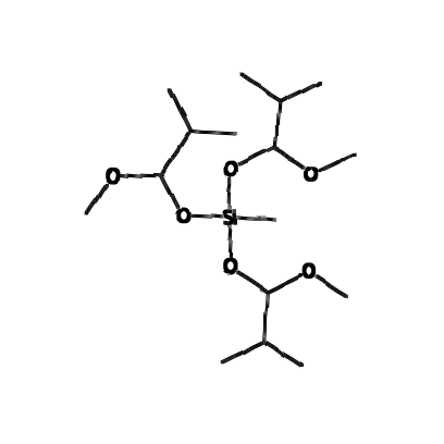 COC(O[Si](C)(OC(OC)C(C)C)OC(OC)C(C)C)C(C)C